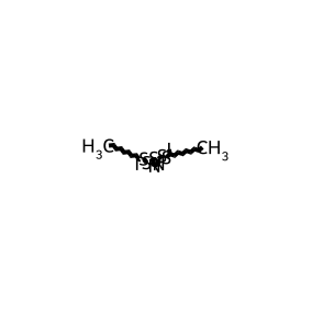 CCCCCCCCC(I)SSc1nnc(SSC(I)CCCCCCCC)s1